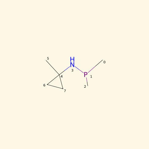 CP(C)NC1(C)CC1